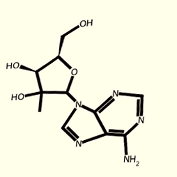 CC1(O)C(n2cnc3c(N)ncnc32)O[C@H](CO)[C@@H]1O